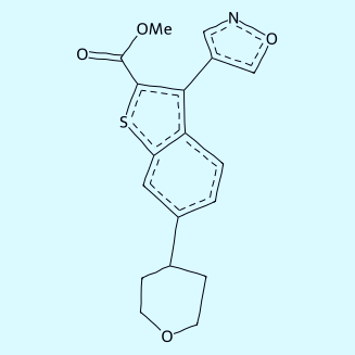 COC(=O)c1sc2cc(C3CCOCC3)ccc2c1-c1cnoc1